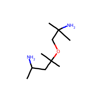 CC(N)CC(C)(C)OCC(C)(C)N